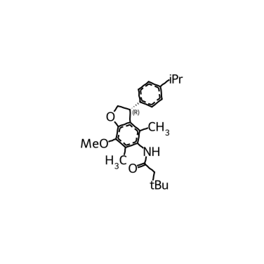 COc1c(C)c(NC(=O)CC(C)(C)C)c(C)c2c1OC[C@@H]2c1ccc(C(C)C)cc1